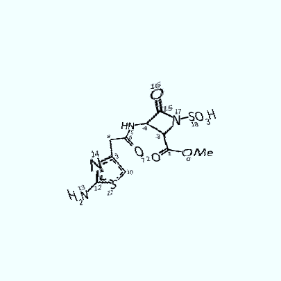 COC(=O)C1C(NC(=O)Cc2csc(N)n2)C(=O)N1S(=O)(=O)O